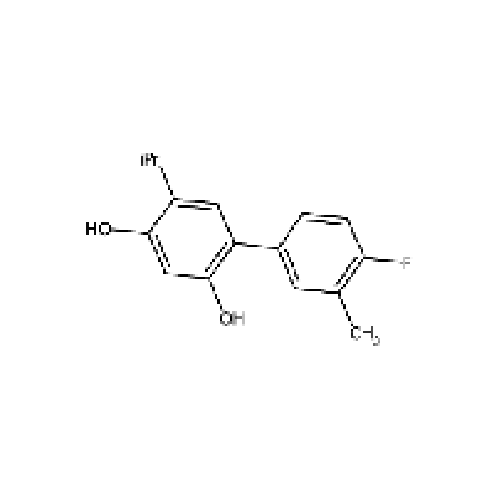 Cc1cc(-c2cc(C(C)C)c(O)cc2O)ccc1F